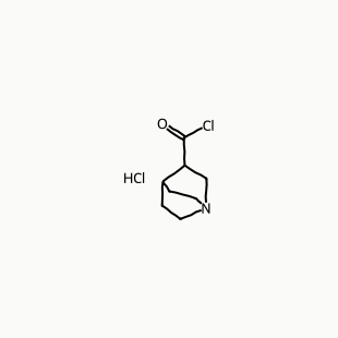 Cl.O=C(Cl)C1CN2CCC1CC2